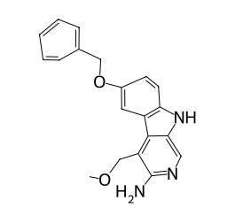 COCc1c(N)ncc2[nH]c3ccc(OCc4ccccc4)cc3c12